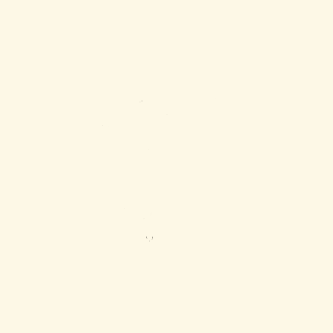 COc1ccc(COc2cc(CCC(=O)O)ccc2C2OCCO2)cc1